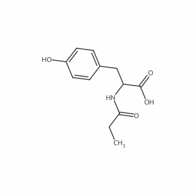 CCC(=O)NC(Cc1ccc(O)cc1)C(=O)O